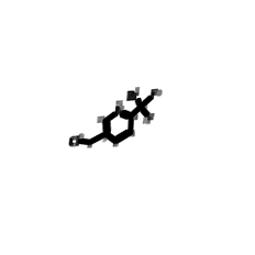 FC(F)(Br)c1ccc(CCl)cn1